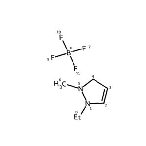 CCN1C=CCN1C.F[B-](F)(F)F